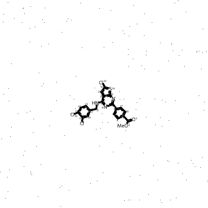 COC(=O)c1ccc(-c2nc(NCc3ccc(Cl)c(Cl)c3)c3cc(Cl)sc3n2)cc1